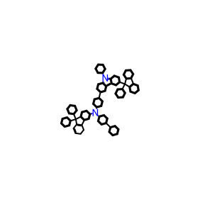 C1=CC2=C(CC1)c1cc(N(c3ccc(-c4ccccc4)cc3)c3ccc(-c4ccc5c(c4)c4cc(C6(c7ccccc7)c7ccccc7-c7ccccc76)ccc4n5-c4ccccc4)cc3)ccc1C2(c1ccccc1)c1ccccc1